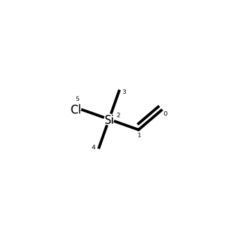 C=C[Si](C)(C)Cl